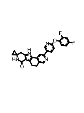 O=C1NC2(CC2)Cc2[nH]c3c(c21)CCc1cnc(-c2ccc(Oc4ccc(F)cc4F)nc2)cc1-3